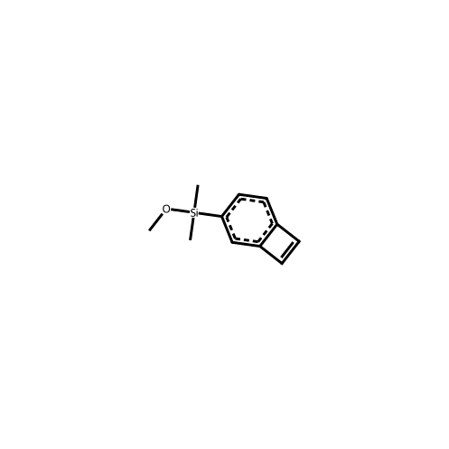 CO[Si](C)(C)c1ccc2c(c1)C=C2